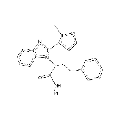 CC(C)NC(=O)C(CCc1ccccc1)n1c(-c2cccn2C)nc2ccccc21